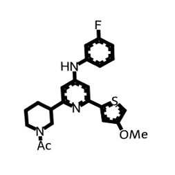 COc1csc(-c2cc(Nc3cccc(F)c3)cc(C3CCCN(C(C)=O)C3)n2)c1